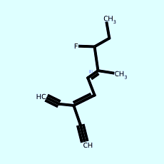 C#CC(C#C)=C/C=C(\C)C(F)CC